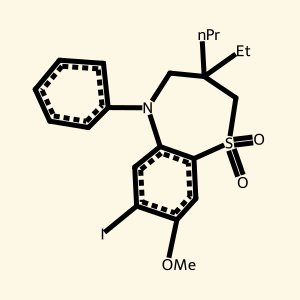 CCCC1(CC)CN(c2ccccc2)c2cc(I)c(OC)cc2S(=O)(=O)C1